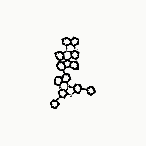 Brc1cccc2cccc(N3c4ccccc4C4(c5ccccc5-c5c(-c6ccc(N7c8ccc(-c9ccccc9)cc8Sc8cc(-c9ccccc9)ccc87)c7c(Br)cccc67)cccc54)c4ccccc43)c12